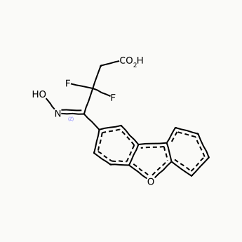 O=C(O)CC(F)(F)/C(=N\O)c1ccc2oc3ccccc3c2c1